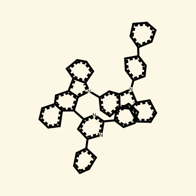 c1ccc(-c2ccc(-n3c4ccccc4c4ccc(-n5c6ccccc6c6cc7ccccc7c(-c7cc(-c8ccccc8)nc(-c8ccccc8)n7)c65)cc43)cc2)cc1